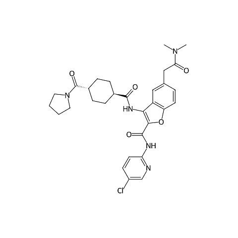 CN(C)C(=O)Cc1ccc2oc(C(=O)Nc3ccc(Cl)cn3)c(NC(=O)[C@H]3CC[C@H](C(=O)N4CCCC4)CC3)c2c1